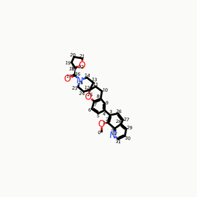 COc1c(-c2ccc3c(c2)CCC2(CCN(C(=O)[C@H]4CCCO4)CC2)O3)ccc2cccnc12